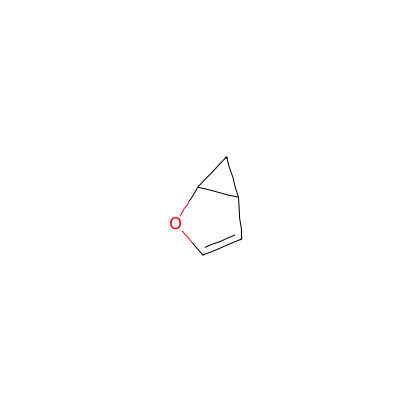 C1=CC2CC2O1